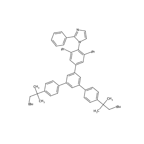 CC(C)c1cc(-c2cc(-c3ccc(C(C)(C)CC(C)(C)C)cc3)cc(-c3ccc(C(C)(C)CC(C)(C)C)cc3)c2)cc(C(C)C)c1-n1ccnc1-c1ccccc1